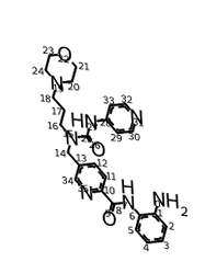 Nc1ccccc1NC(=O)c1ccc(CN(CCCN2CCOCC2)C(=O)Nc2ccncc2)cn1